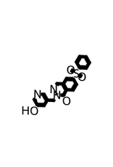 O=c1c2ccc(S(=O)(=O)c3ccccc3)cc2cnn1Cc1cncc(O)c1